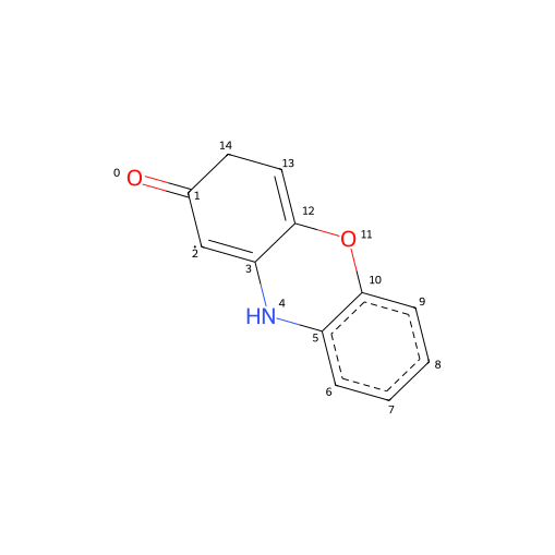 O=C1[C]=C2Nc3ccccc3OC2=CC1